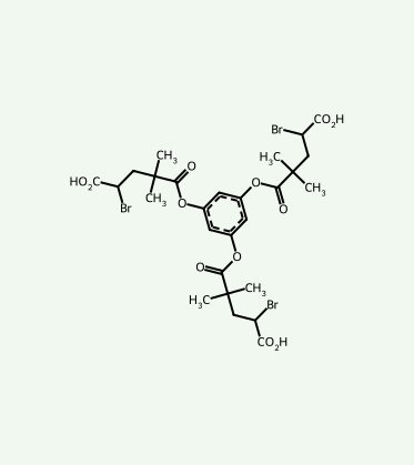 CC(C)(CC(Br)C(=O)O)C(=O)Oc1cc(OC(=O)C(C)(C)CC(Br)C(=O)O)cc(OC(=O)C(C)(C)CC(Br)C(=O)O)c1